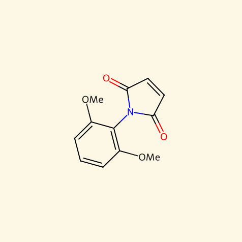 COc1cccc(OC)c1N1C(=O)C=CC1=O